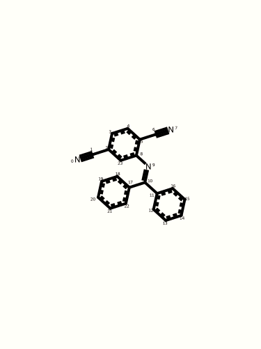 N#Cc1ccc(C#N)c(N=C(c2ccccc2)c2ccccc2)c1